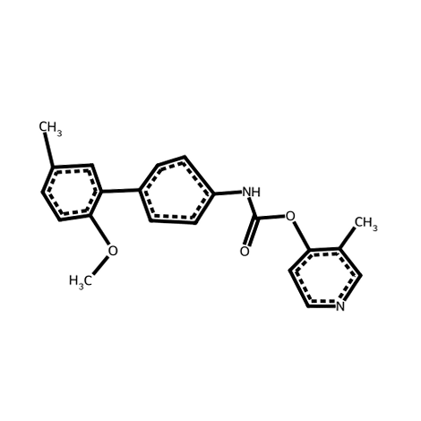 COc1ccc(C)cc1-c1ccc(NC(=O)Oc2ccncc2C)cc1